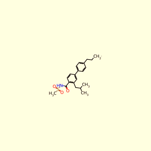 [CH2]CCc1ccc(-c2ccc(C(=O)NS(C)(=O)=O)c(CC(C)C)c2)cc1